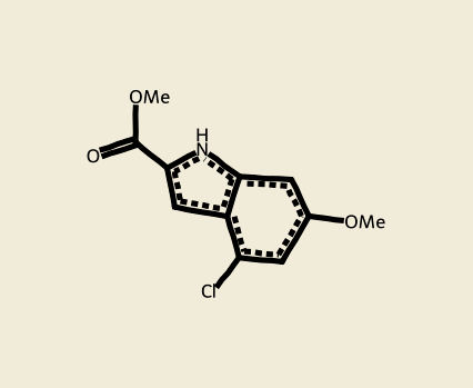 COC(=O)c1cc2c(Cl)cc(OC)cc2[nH]1